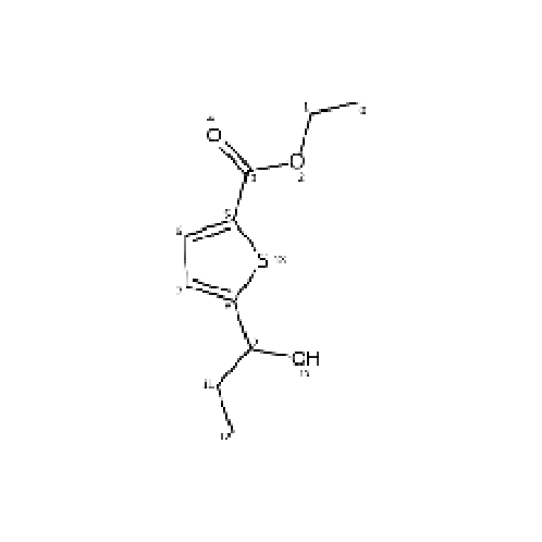 CCOC(=O)c1ccc(C(O)CC)s1